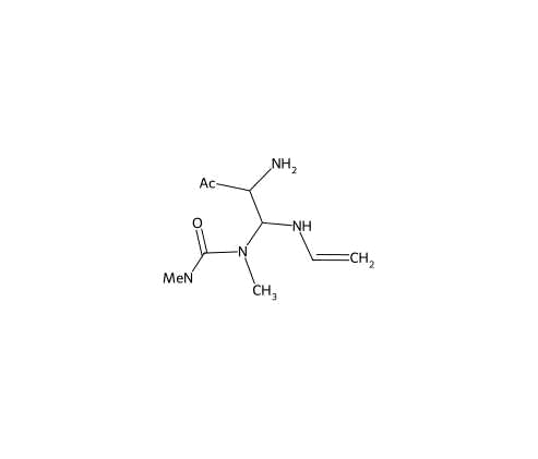 C=CNC(C(N)C(C)=O)N(C)C(=O)NC